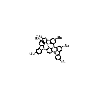 CC(C)(C)c1ccc2c(c1)-c1cc(C(C)(C)C)cc3c1B2c1ccc(-n2c4ccc(C(C)(C)C)cc4c4cc(C(C)(C)C)ccc42)c2c1N3c1cc(C(C)(C)C)cc3c1B2c1ccc(C(C)(C)C)cc1-3